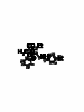 CCOC(=O)[C@H](C)OP(=O)(CCNCc1ccc(CC)cc1)Oc1ccccc1